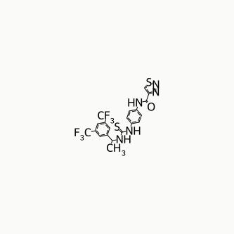 CC(NC(=S)Nc1ccc(NC(=O)c2csnn2)cc1)c1cc(C(F)(F)F)cc(C(F)(F)F)c1